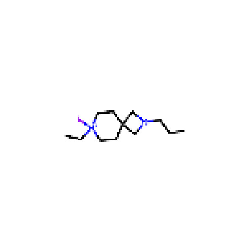 CCCN1CC2(CC[N+](I)(CC)CC2)C1